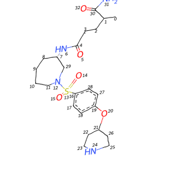 CC(C[CH]C(=O)N[C@H]1CCCCN(S(=O)(=O)c2ccc(OC3CCNCC3)cc2)C1)C(N)=O